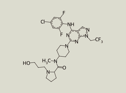 CN(C(=O)C1CCCN1CCCO)C1CCN(c2nc(Nc3c(F)cc(Cl)cc3F)c3cnn(CC(F)(F)F)c3n2)CC1